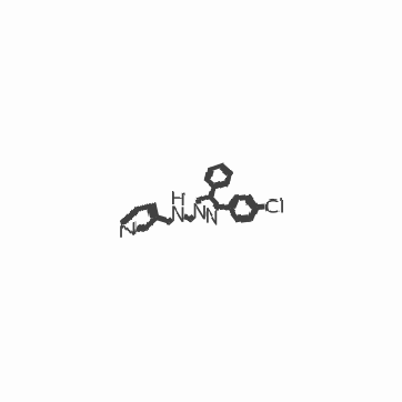 Clc1ccc(C2=NN(CNCc3cccnc3)CC2c2ccccc2)cc1